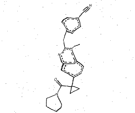 Cn1c(Cc2ccc(C#N)cc2)nc2cc(C3(C(=O)N4CCCC4)CC3)ccc21